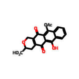 CC(=O)Oc1c2c(c(O)c3ccccc13)C(=O)C1=C(COC(C(=O)O)C1)C2=O